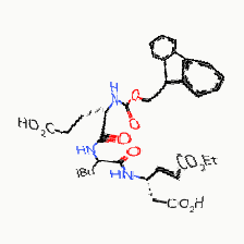 CCOC(=O)/C=C/[C@H](CC(=O)O)NC(=O)C(NC(=O)[C@H](CCC(=O)O)NC(=O)OCC1c2ccccc2-c2ccccc21)C(C)CC